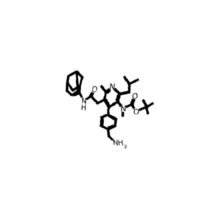 Cc1nc(CC(C)C)c(N(C)C(=O)OC(C)(C)C)c(-c2ccc(CN)cc2)c1CC(=O)NC1C2CC3CC(C2)CC1C3